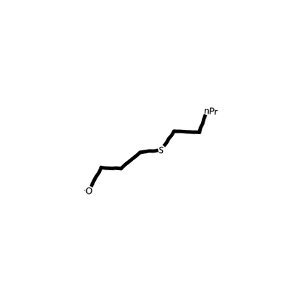 CCCCCSCCC[O]